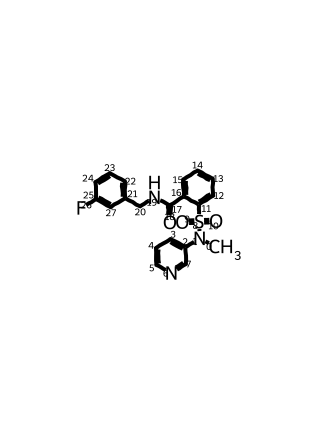 CN(c1cccnc1)S(=O)(=O)c1ccccc1C(=O)NCc1cccc(F)c1